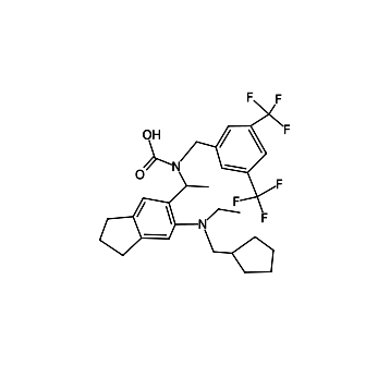 CCN(CC1CCCC1)c1cc2c(cc1C(C)N(Cc1cc(C(F)(F)F)cc(C(F)(F)F)c1)C(=O)O)CCC2